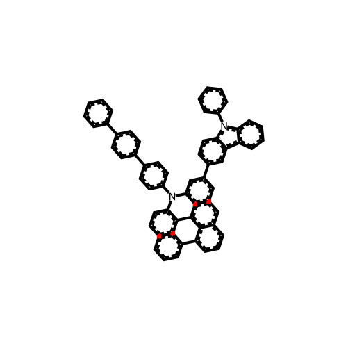 c1ccc(-c2ccc(-c3ccc(N(c4cccc(-c5ccc6c(c5)c5ccccc5n6-c5ccccc5)c4)c4ccccc4-c4cccc5cccc(-c6ccccc6)c45)cc3)cc2)cc1